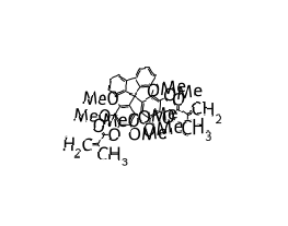 C=C(C)C(=O)Oc1c(OC)c(OC)c(C2(c3c(OC)c(OC)c(OC(=O)C(=C)C)c(OC)c3OC)c3ccccc3-c3ccccc32)c(OC)c1OC